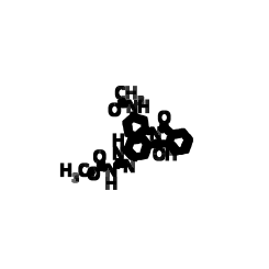 COC(=O)Nc1nc2cc(C3(O)c4ccccc4C(=O)N3c3cccc(NC(C)=O)c3)ccc2[nH]1